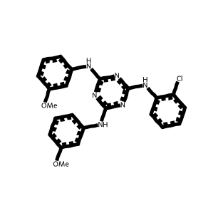 COc1cccc(Nc2nc(Nc3cccc(OC)c3)nc(Nc3ccccc3Cl)n2)c1